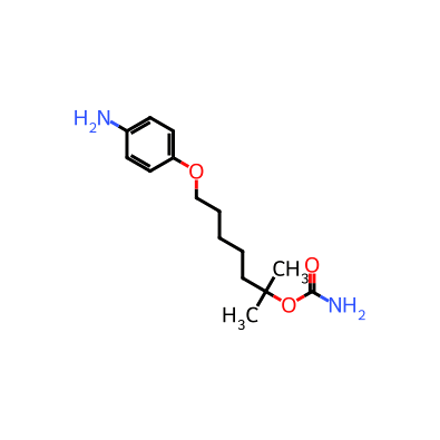 CC(C)(CCCCCOc1ccc(N)cc1)OC(N)=O